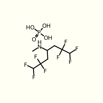 CNC(CC(F)(F)C(F)F)CC(F)(F)C(F)F.O=P(O)(O)O